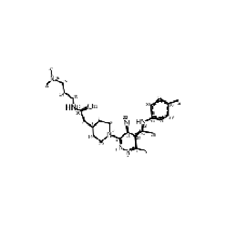 CC1=NN=C(N2CCC(CC(=O)NCCCN(C)C)CC2)C(=N)/C1=C(/C)Nc1ccc(C)cc1